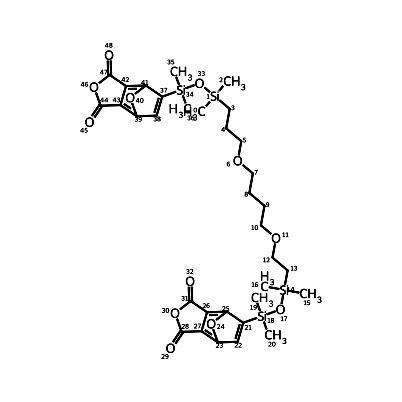 C[Si](C)(CCCOCCCCOCC[Si](C)(C)O[Si](C)(C)c1cc2oc1c1c2C(=O)OC1=O)O[Si](C)(C)c1cc2oc1c1c2C(=O)OC1=O